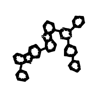 c1ccc(-c2ccc(-c3nc(-c4ccccc4)nc(-c4cccc5oc6c(-c7ccc8c(c7)sc7c(-c9ccccc9)cccc78)cccc6c45)n3)cc2)cc1